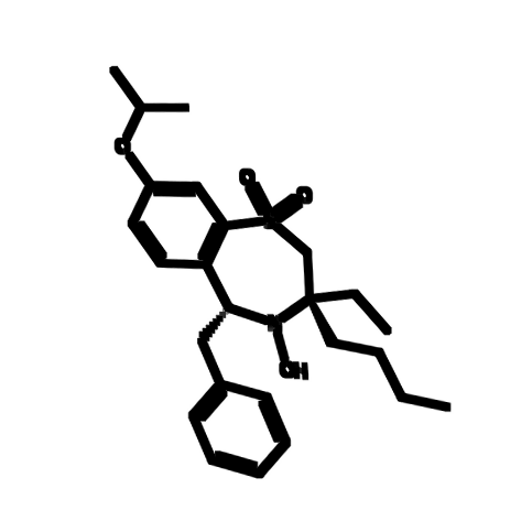 CCCC[C@]1(CC)CS(=O)(=O)c2cc(OC(C)C)ccc2[C@@H](Cc2ccccc2)N1O